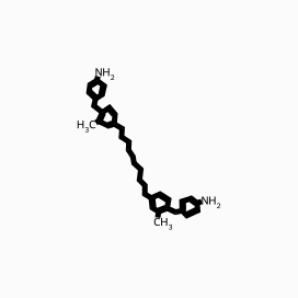 Cc1cc(CCCCCCCCCCc2ccc(Cc3ccc(N)cc3)c(C)c2)ccc1Cc1ccc(N)cc1